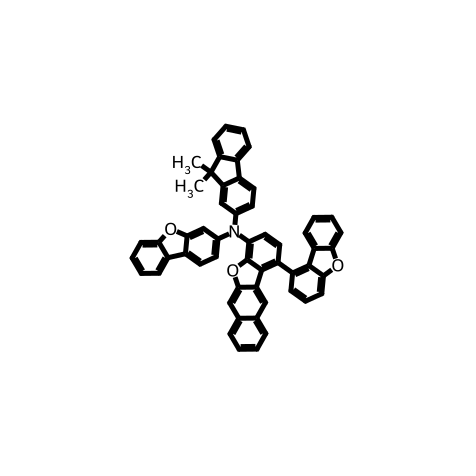 CC1(C)c2ccccc2-c2ccc(N(c3ccc4c(c3)oc3ccccc34)c3ccc(-c4cccc5oc6ccccc6c45)c4c3oc3cc5ccccc5cc34)cc21